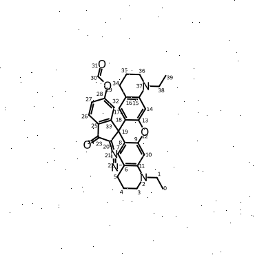 CCN1CCCc2cc3c(cc21)Oc1cc2c(cc1C31C(=[N+]=[N-])C(=O)c3ccc(OC=O)cc31)CCCN2CC